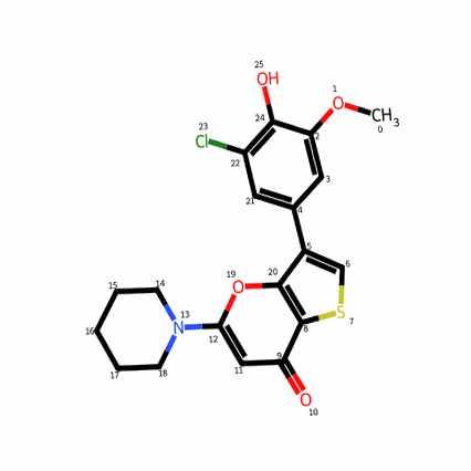 COc1cc(-c2csc3c(=O)cc(N4CCCCC4)oc23)cc(Cl)c1O